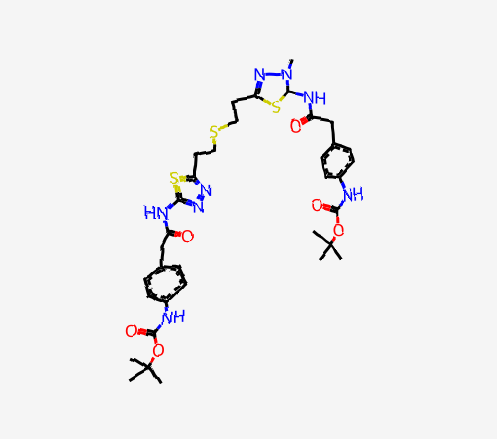 CN1N=C(CCSCCc2nnc(NC(=O)Cc3ccc(NC(=O)OC(C)(C)C)cc3)s2)SC1NC(=O)Cc1ccc(NC(=O)OC(C)(C)C)cc1